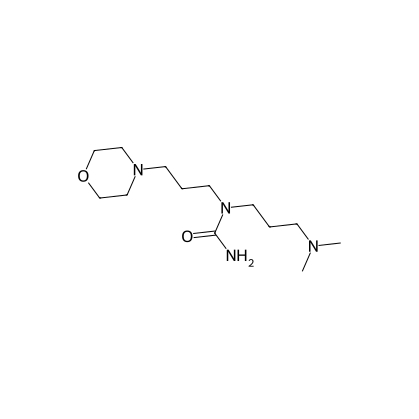 CN(C)CCCN(CCCN1CCOCC1)C(N)=O